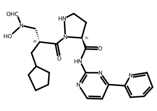 O=CN(O)C[C@@H](CC1CCCC1)C(=O)N1NCC[C@H]1C(=O)Nc1nccc(-c2ccccn2)n1